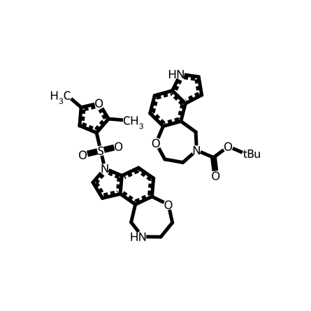 CC(C)(C)OC(=O)N1CCOc2ccc3[nH]ccc3c2C1.Cc1cc(S(=O)(=O)n2ccc3c4c(ccc32)OCCNC4)c(C)o1